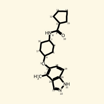 Cc1c(OC2CCC(NC(=O)C3CCCC3)CC2)ccc2[nH]ncc12